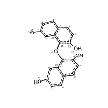 Oc1ccc2ccc(O)c(Oc3c(O)ccc4ccc(O)cc34)c2c1